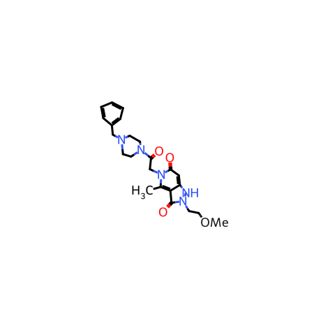 COCCn1[nH]c2cc(=O)n(CC(=O)N3CCN(Cc4ccccc4)CC3)c(C)c2c1=O